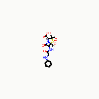 CC1(C)[C@H](C(=O)O)N2C(=O)C(NC(=O)CNc3ccccc3)[C@H]2S1(=O)=O